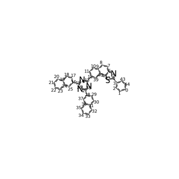 c1ccc(-c2nc3ccc4ccc(-c5nc(-c6ccc7ccccc7c6)nc(-c6ccc7ccccc7c6)n5)cc4c3s2)cc1